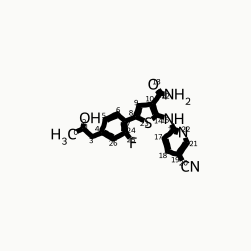 CC(O)Cc1ccc(-c2cc(C(N)=O)c(Nc3ccc(C#N)cn3)s2)c(F)c1